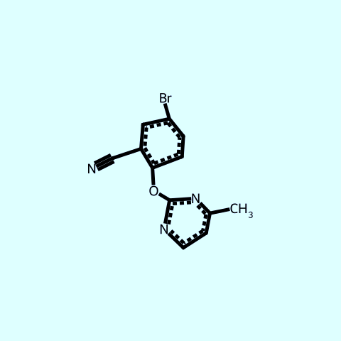 Cc1ccnc(Oc2ccc(Br)cc2C#N)n1